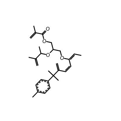 C=C(C)C(=O)OCC(COC(/C=C\C(=C)C(C)(C)c1ccc(C)cc1)=C/C)OC(C)C(=C)C